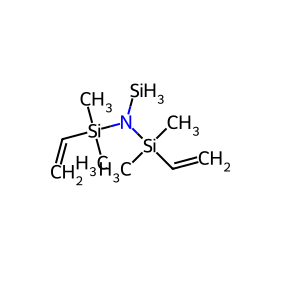 C=C[Si](C)(C)N([SiH3])[Si](C)(C)C=C